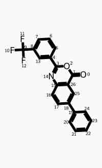 O=c1oc(-c2cccc(C(F)(F)F)c2)nc2ccc(-c3ccccc3)cc12